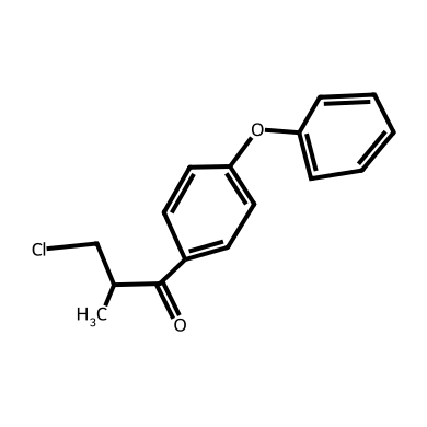 CC(CCl)C(=O)c1ccc(Oc2ccccc2)cc1